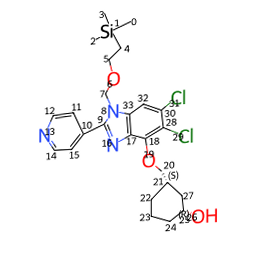 C[Si](C)(C)CCOCn1c(-c2ccncc2)nc2c(OC[C@H]3CCC[C@@H](O)C3)c(Cl)c(Cl)cc21